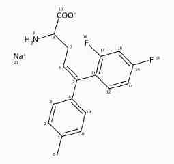 Cc1ccc(/C(=C/CC(N)C(=O)[O-])c2ccc(F)cc2F)cc1.[Na+]